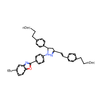 CCCCCCCCCCCCc1ccc(C=CC2=NN(c3ccc(-c4nc5cc(C(C)(C)C)ccc5o4)cc3)C(c3ccc(CCCCCCCCCCCC)cc3)C2)cc1